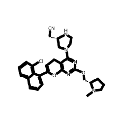 CN1CCC[C@H]1COc1nc2c(c(N3CCN[C@@H](CC#N)C3)n1)CC=C(c1cccc3cccc(Cl)c13)O2